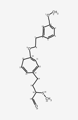 COc1cccc(CCOC2=CC=C(CCC(C=O)SC)C=CC2)c1